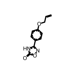 C=CCOc1ccc(-c2noc(=O)[nH]2)cc1